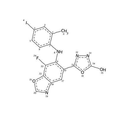 Cc1cc(I)ccc1Nc1c(-c2nnc(O)o2)cc2ncoc2c1F